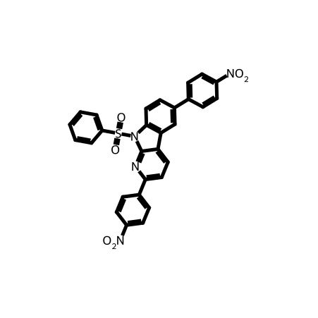 O=[N+]([O-])c1ccc(-c2ccc3c(c2)c2ccc(-c4ccc([N+](=O)[O-])cc4)nc2n3S(=O)(=O)c2ccccc2)cc1